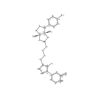 Cn1c(SCCCN2C[C@@H]3CCN(c4ccc(F)cc4)[C@@H]3C2)nnc1-c1cc[nH]c(=O)c1